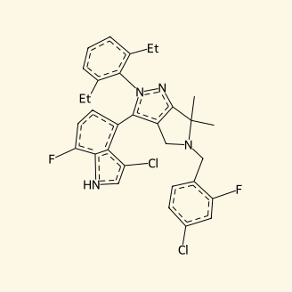 CCc1cccc(CC)c1-n1nc2c(c1-c1ccc(F)c3[nH]cc(Cl)c13)CN(Cc1ccc(Cl)cc1F)C2(C)C